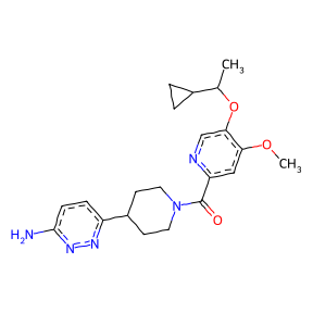 COc1cc(C(=O)N2CCC(c3ccc(N)nn3)CC2)ncc1OC(C)C1CC1